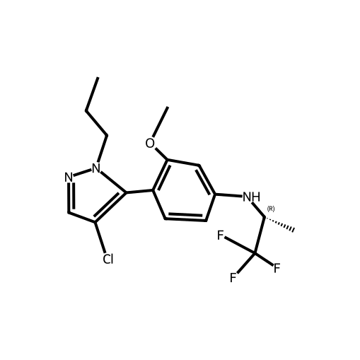 CCCn1ncc(Cl)c1-c1ccc(N[C@H](C)C(F)(F)F)cc1OC